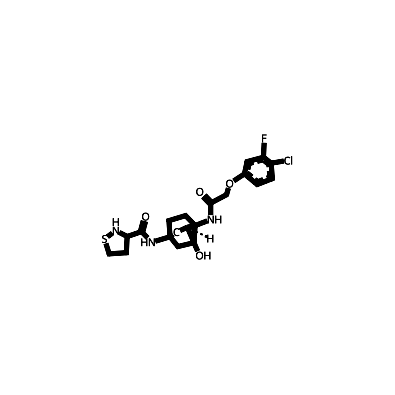 O=C(COc1ccc(Cl)c(F)c1)NC12CCC(NC(=O)C3CCSN3)(CC1)C[C@@H]2O